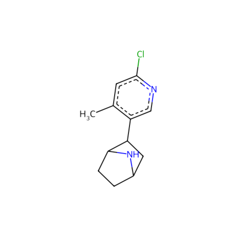 Cc1cc(Cl)ncc1C1CC2CCC1N2